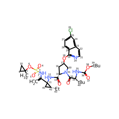 C=C(NS(=O)(=O)OC1(C)CC1)[C@@]1(NC(=O)[C@@H]2C[C@@H](Oc3nccc4cc(Cl)ccc34)CN2C(=O)[C@@H](NC(=O)OC(C)(C)C)C(C)(C)C)C[C@H]1CC